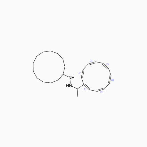 CC(NNC1CCCCCCCCCCCC1)C1=C/C=C\C=C/C=C\C=C/C=C\1